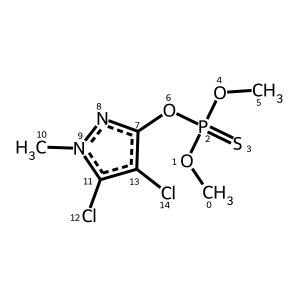 COP(=S)(OC)Oc1nn(C)c(Cl)c1Cl